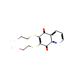 O=C1C(SCCO)=C(SCCO)C(=O)c2ncccc21